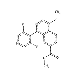 CCc1cnc(-c2c(F)cncc2F)c2cc(C(=O)OC)ccc12